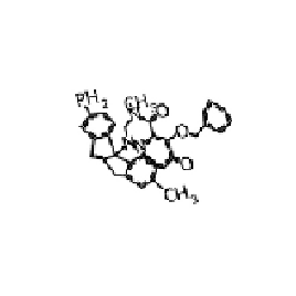 Cc1ccc2c(c1)CC1=Cc3cc(P)ccc3C12N1CN(C)C(=O)c2c(OCc3ccccc3)c(=O)ccn21